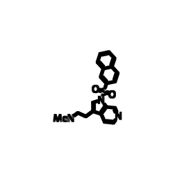 CNCCc1cn(S(=O)(=O)c2ccc3ccccc3c2)c2cnccc12